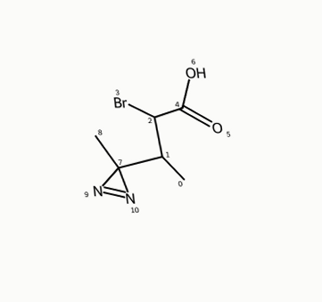 CC(C(Br)C(=O)O)C1(C)N=N1